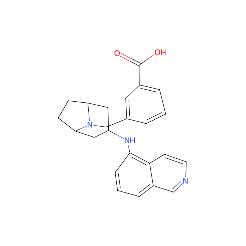 O=C(O)c1cccc(CN2C3CCC2CC(Nc2cccc4cnccc24)C3)c1